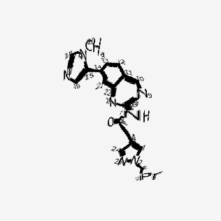 CC(C)Cn1cc(C(=O)Nc2ncc3ccc(-c4cncn4C)cc3n2)cn1